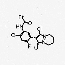 CCC(=O)Nc1cc(-c2c(Cl)n3n(c2=O)CCCC3)c(F)cc1Cl